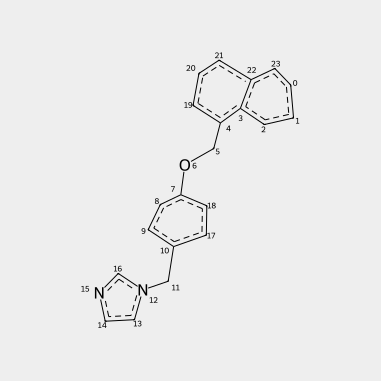 c1ccc2c(COc3ccc(Cn4ccnc4)cc3)cccc2c1